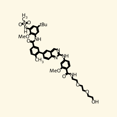 COc1cc(Nc2ncc3cc(-c4cc(C(=O)Nc5cc(C(C)(C)C)cc(NS(C)(=O)=O)c5OC)ccc4C)ccc3n2)ccc1C(=O)NCCOCCOCCO